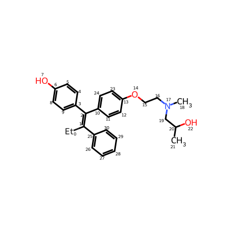 CC/C(=C(\c1ccc(O)cc1)c1ccc(OCCN(C)CC(C)O)cc1)c1ccccc1